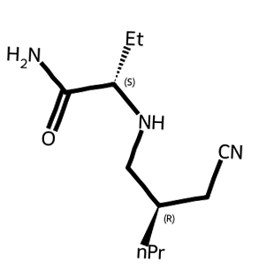 CCC[C@H](CC#N)CN[C@@H](CC)C(N)=O